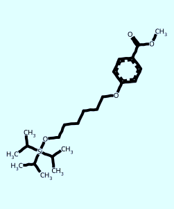 COC(=O)c1ccc(OCCCCCCO[Si](C(C)C)(C(C)C)C(C)C)cc1